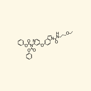 CCOCCCNC(=O)n1ccc2cc(Oc3ccnc(N(C(=O)Oc4ccccc4)C(=O)Oc4ccccc4)c3)ccc21